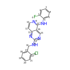 Fc1ccccc1Nc1nccc2nc(NCc3ccccc3Cl)ncc12